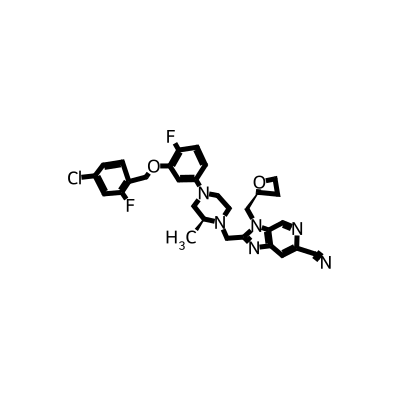 C[C@H]1CN(c2ccc(F)c(OCc3ccc(Cl)cc3F)c2)CCN1Cc1nc2cc(C#N)ncc2n1C[C@@H]1CCO1